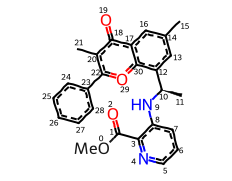 COC(=O)c1ncccc1N[C@H](C)c1cc(C)cc2c(=O)c(C)c(-c3ccccc3)oc12